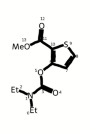 CCN(CC)C(=O)Oc1ccsc1C(=O)OC